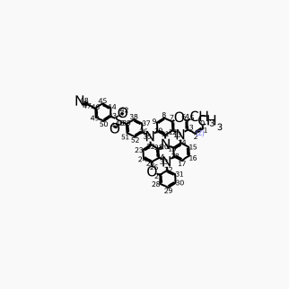 C/C=C\c1c(C)oc2ccc3c4c2n1c1cccc2c1n4c1c(ccc4oc5ccccc5n2c41)n3-c1ccc(S(=O)(=O)c2ccc(C#N)cc2)cc1